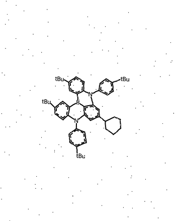 CC(C)(C)c1ccc(N2c3ccc(C(C)(C)C)cc3B3c4cc(C(C)(C)C)ccc4N(c4ccc(C(C)(C)C)cc4)c4cc(C5CCCCC5)cc2c43)cc1